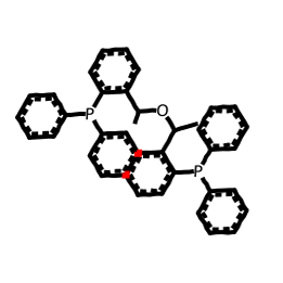 CC(OC(C)c1ccccc1P(c1ccccc1)c1ccccc1)c1ccccc1P(c1ccccc1)c1ccccc1